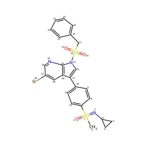 CS(=O)(=NC1CC1)c1ccc(-c2cn(S(=O)(=O)Cc3ccccc3)c3ncc(Br)cc23)cc1